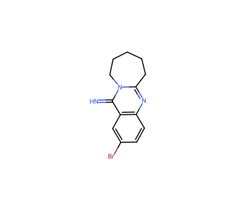 N=c1c2cc(Br)ccc2nc2n1CCCCC2